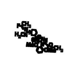 C=N/C(=N\C=C(/C)F)N1CCC[C@H](S(=O)(=O)Nc2nnc(-c3ccc(C)o3)n2-c2c(OC)cccc2OC)C1